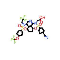 N#Cc1ccc(S(=O)(=O)N(CC(=O)O)c2ncc(N(CC(F)(F)F)S(=O)(=O)c3ccc(OC(F)(F)F)cc3)c3ccccc23)cc1